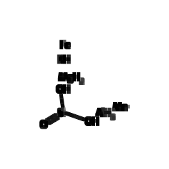 O=[Si](O)O.[AlH3].[Fe].[KH].[MgH2].[Mn]